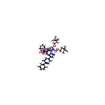 CC(C)(C)OC(=O)N1C2CCC1CC(O)(c1cc(N(COCC[Si](C)(C)C)COCC[Si](C)(C)C)n3ncc(-c4ccc(-c5ccccc5)nc4)c3n1)C2